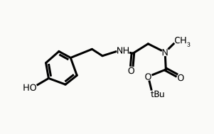 CN(CC(=O)NCCc1ccc(O)cc1)C(=O)OC(C)(C)C